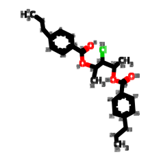 CCCc1ccc(C(=O)OC(C)C(Cl)C(C)OC(=O)c2ccc(CCC)cc2)cc1